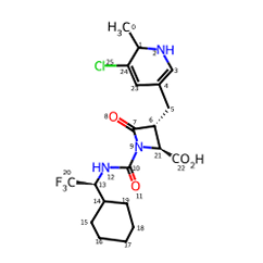 CC1NC=C(C[C@H]2C(=O)N(C(=O)N[C@@H](C3CCCCC3)C(F)(F)F)[C@@H]2C(=O)O)C=C1Cl